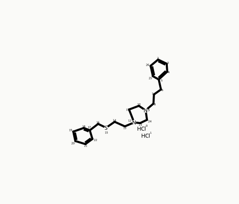 Cl.Cl.c1ccc(CCCN2CCN(CCSCc3ccccc3)CC2)cc1